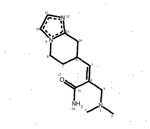 CN(C)CC(=CC1CCn2ccnc2C1)C(N)=O